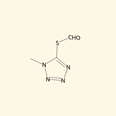 Cn1nnnc1SC=O